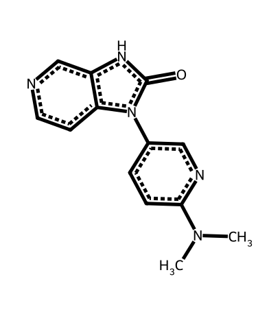 CN(C)c1ccc(-n2c(=O)[nH]c3cnccc32)cn1